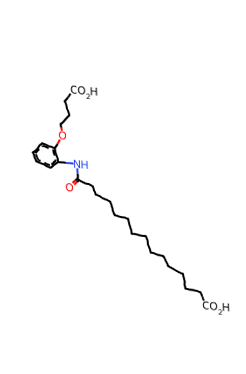 O=C(O)CCCCCCCCCCCCCC(=O)Nc1ccccc1OCCCC(=O)O